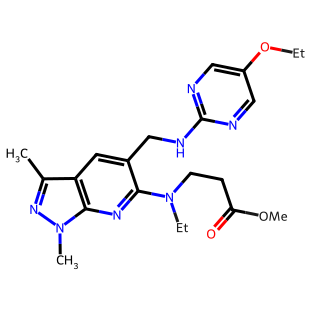 CCOc1cnc(NCc2cc3c(C)nn(C)c3nc2N(CC)CCC(=O)OC)nc1